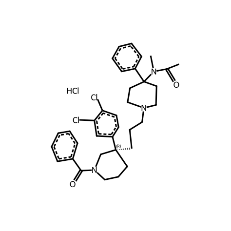 CC(=O)N(C)C1(c2ccccc2)CCN(CCC[C@]2(c3ccc(Cl)c(Cl)c3)CCCN(C(=O)c3ccccc3)C2)CC1.Cl